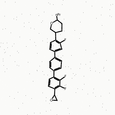 CCCC1CCC(c2ccc(-c3ccc(-c4ccc(C5CO5)c(F)c4F)cc3)cc2F)CO1